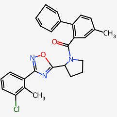 Cc1ccc(-c2ccccc2)c(C(=O)N2CCCC2c2nc(-c3cccc(Cl)c3C)no2)c1